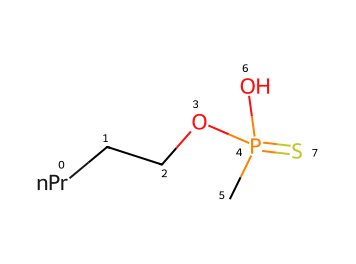 CCCCCOP(C)(O)=S